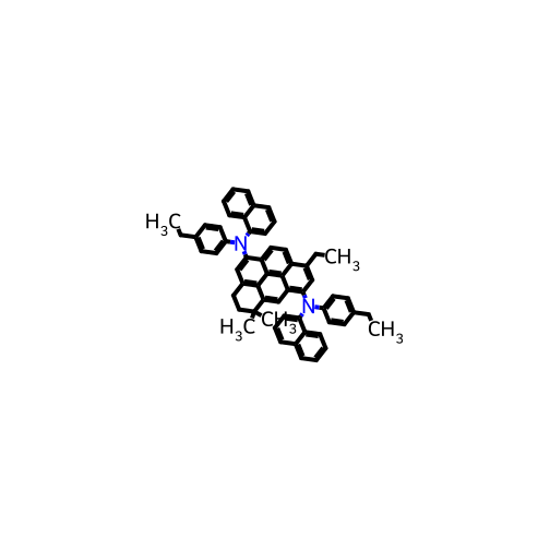 CCc1ccc(N(c2cccc3ccccc23)c2cc(CC)c3ccc4c(N(c5ccc(CC)cc5)c5cccc6ccccc56)cc5c6c(cc2c3c46)C(C)(C)CC5)cc1